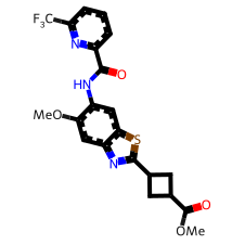 COC(=O)C1CC(c2nc3cc(OC)c(NC(=O)c4cccc(C(F)(F)F)n4)cc3s2)C1